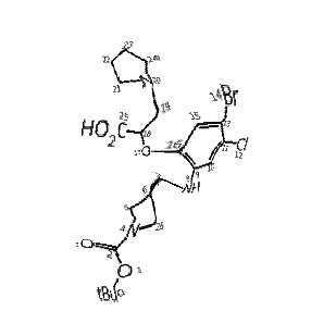 CC(C)(C)OC(=O)N1CC(CNc2cc(Cl)c(Br)cc2OC(CN2CCCC2)C(=O)O)C1